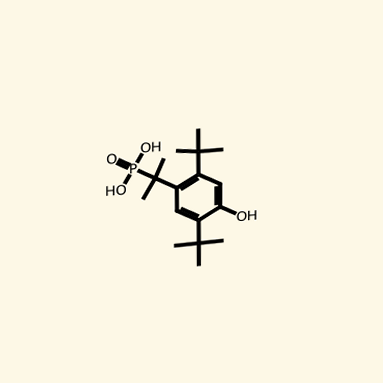 CC(C)(C)c1cc(C(C)(C)P(=O)(O)O)c(C(C)(C)C)cc1O